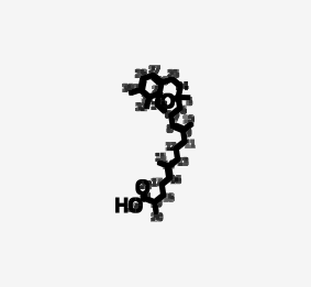 CCC12OC(C)(CC/C=C(\C)CCC/C(C)=C/CCC(C)C(=O)O)CCC1=CC=C(C)C2C